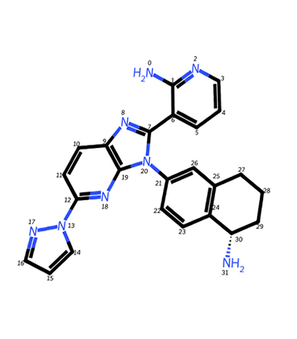 Nc1ncccc1-c1nc2ccc(-n3cccn3)nc2n1-c1ccc2c(c1)CCC[C@@H]2N